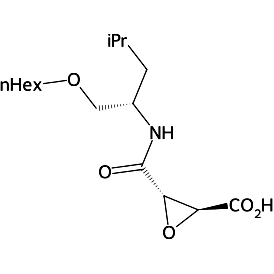 CCCCCCOC[C@H](CC(C)C)NC(=O)[C@H]1O[C@@H]1C(=O)O